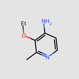 CCOc1c(N)ccnc1C